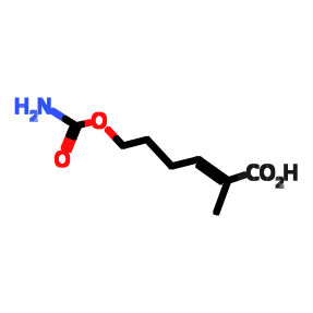 C/C(=C\CCCOC(N)=O)C(=O)O